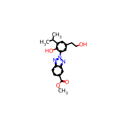 COC(=O)c1ccc2nn(-c3cc(CCO)cc(C(C)C)c3O)nc2c1